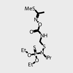 CCOP(=S)(OCC)N(SCNC(=O)O/N=C(\C)SC)C(C)C